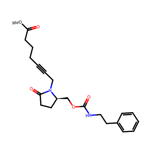 COC(=O)CCCC#CCN1C(=O)CC[C@@H]1COC(=O)NCCc1ccccc1